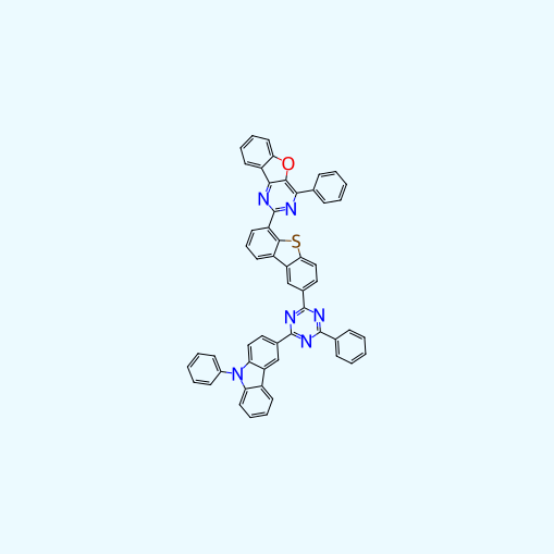 c1ccc(-c2nc(-c3ccc4sc5c(-c6nc(-c7ccccc7)c7oc8ccccc8c7n6)cccc5c4c3)nc(-c3ccc4c(c3)c3ccccc3n4-c3ccccc3)n2)cc1